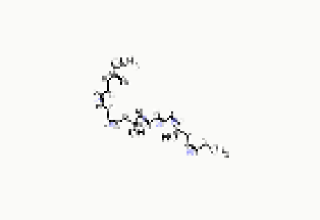 CC/C=C\C[C@H](O)\C=C/C=C/C=C/[C@H](O)C/C=C\C/C=C\CCC(=O)OC